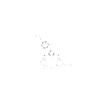 Cc1cc(C(C)(C)O)ccc1-c1sc(C(=O)N2C[C@H](O)C[C@H](O)C2)nc1C(=O)N1CC(F)(F)C[C@@H]1C